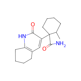 CC1CCCCC1(C(N)=O)c1cc2c([nH]c1=O)CCCC2